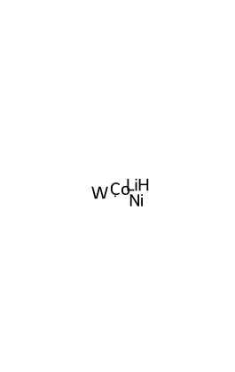 [Co].[LiH].[Ni].[W]